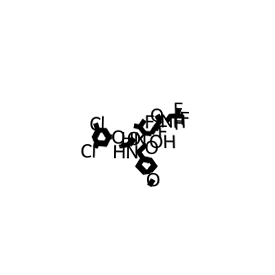 COc1ccc([C@H](NC(=O)COc2cc(Cl)cc(Cl)c2)C(=O)N[C@@H](C(C)C)C(O)C(F)(F)C(=O)NCC(F)(F)F)cc1